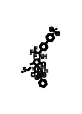 CSCC[C@@H](C(=O)NS(=O)(=O)c1ccccc1)C1(N)C(=O)[C@@H](N[C@@H](c2ccc(-c3ccc(S(C)(=O)=O)cc3)cc2)C(F)(F)F)CC1C